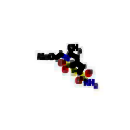 COCCN1C(C)Cc2cc(S(N)(=O)=O)sc2S1(=O)=O